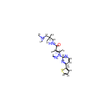 C=NN(/C(C)=C(\C)C(=O)NCC(C)(C)CN(C)C)c1nccc(-c2cccs2)n1